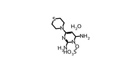 NC1=NC(N2CCSCC2)=CC(N)N1OS(=O)(=O)O.O